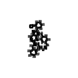 NCc1ccc(Cn2c(-c3ccccc3Cl)nc3cnc(NCc4ccccc4F)nc32)cc1